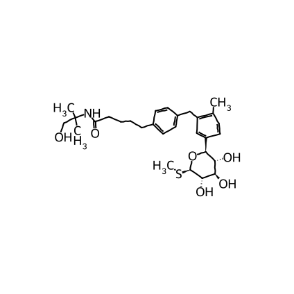 CS[C@H]1O[C@@H](c2ccc(C)c(Cc3ccc(CCCCC(=O)NC(C)(C)CO)cc3)c2)[C@H](O)[C@@H](O)[C@@H]1O